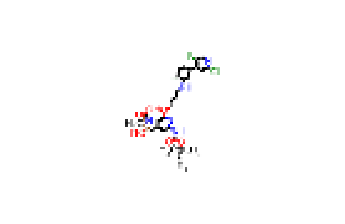 CC(C)(C)OC(=O)Nc1cc(C[SH](C)(O)=NC(=O)O)cc(OCCCCNc2cc(-c3cc(Cl)ncc3F)ccc2F)n1